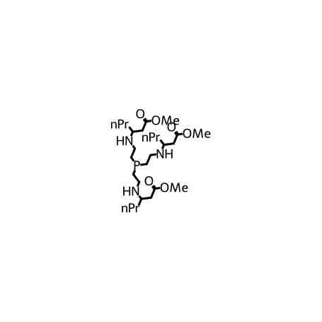 CCCC(CC(=O)OC)NCCP(CCNC(CCC)CC(=O)OC)CCNC(CCC)CC(=O)OC